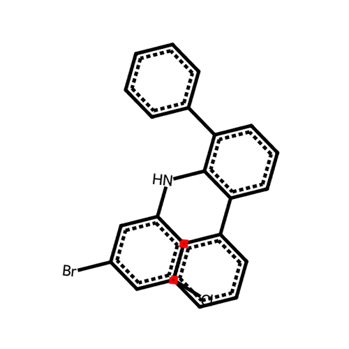 Clc1cc(Br)cc(Nc2c(-c3ccccc3)cccc2-c2ccccc2)c1